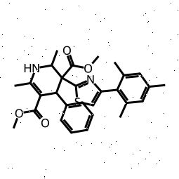 COC(=O)C1=C(C)NC(C)C(C(=O)OC)(c2nc(-c3c(C)cc(C)cc3C)cs2)C1c1ccccc1